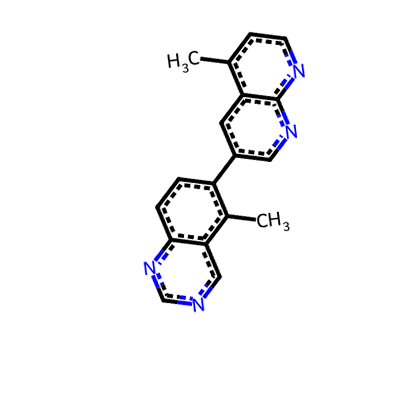 Cc1c(-c2cnc3nccc(C)c3c2)ccc2ncncc12